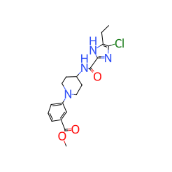 CCc1[nH]c(C(=O)NC2CCN(c3cccc(C(=O)OC)c3)CC2)nc1Cl